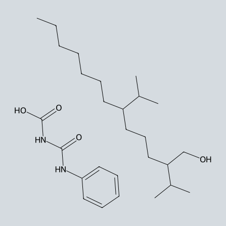 CCCCCCCC(CCCC(CO)C(C)C)C(C)C.O=C(O)NC(=O)Nc1ccccc1